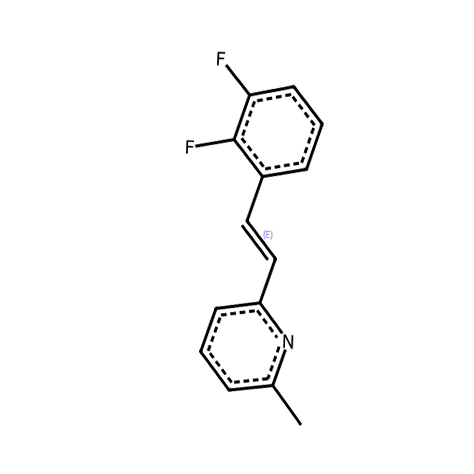 Cc1cccc(/C=C/c2cccc(F)c2F)n1